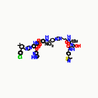 Cc1ncsc1-c1ccc(CNC(=O)[C@@H]2C[C@@H](O)CN2C(=O)[C@@H](NC(=O)CCCN2CCN(C3CCC(CNc4ccc(S(=O)(=O)NC(=O)c5ccc(N6CCN(CC7=C(c8ccc(Cl)cc8)CC(C)(C)CC7)CC6)cc5Oc5cnc6[nH]ccc6c5)cc4[N+](=O)[O-])CC3)CC2)C(C)(C)C)cc1